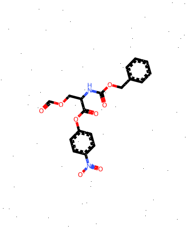 O=COCC(NC(=O)OCc1ccccc1)C(=O)Oc1ccc([N+](=O)[O-])cc1